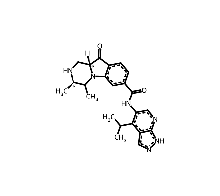 CC(C)c1c(NC(=O)c2ccc3c(c2)N2C(C)[C@@H](C)NC[C@@H]2C3=O)cnc2[nH]ncc12